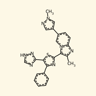 Cc1nc2ccc(-c3cnn(C)c3)cn2c1-c1nc(-c2ccccc2)c(-c2nc[nH]n2)s1